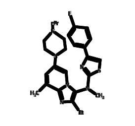 CCCN1CCN(c2cc(C)c3nc(CC)c(N(C)c4nc(-c5ccc(F)cc5)cs4)n3c2)CC1